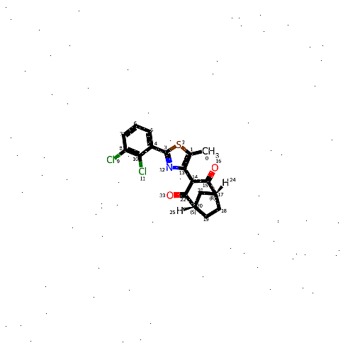 Cc1sc(-c2cccc(Cl)c2Cl)nc1C1C(=O)[C@@H]2CC[C@@H](C2)C1=O